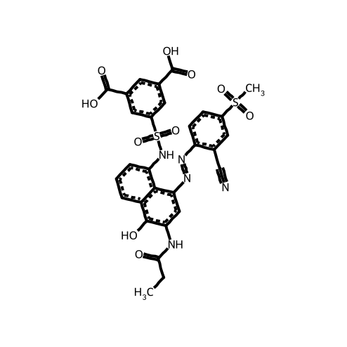 CCC(=O)Nc1cc(/N=N/c2ccc(S(C)(=O)=O)cc2C#N)c2c(NS(=O)(=O)c3cc(C(=O)O)cc(C(=O)O)c3)cccc2c1O